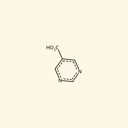 O=C(O)c1cn[c]nc1